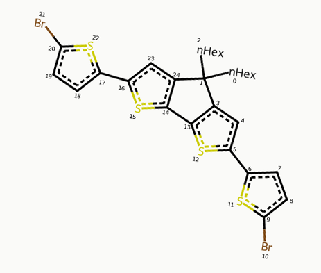 CCCCCCC1(CCCCCC)c2cc(-c3ccc(Br)s3)sc2-c2sc(-c3ccc(Br)s3)cc21